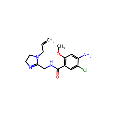 C=CCN1CCN=C1CNC(=O)c1cc(Cl)c(N)cc1OC